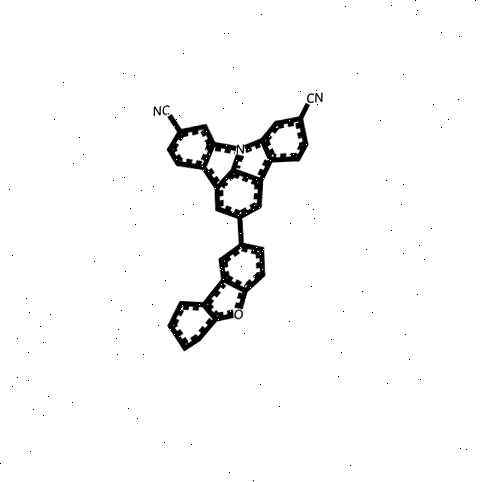 N#Cc1ccc2c3cc(-c4ccc5oc6ccccc6c5c4)cc4c5ccc(C#N)cc5n(c2c1)c34